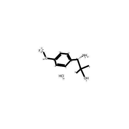 CC(C)(O)[C@@H](N)c1ccc(OC(F)(F)F)cc1.Cl